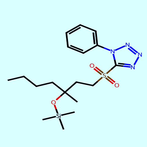 CCCCC(C)(CCS(=O)(=O)c1nnnn1-c1ccccc1)O[Si](C)(C)C